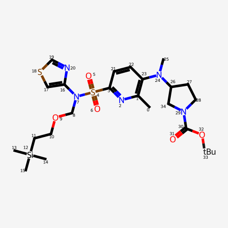 Cc1nc(S(=O)(=O)N(COCC[Si](C)(C)C)c2cscn2)ccc1N(C)C1CCN(C(=O)OC(C)(C)C)C1